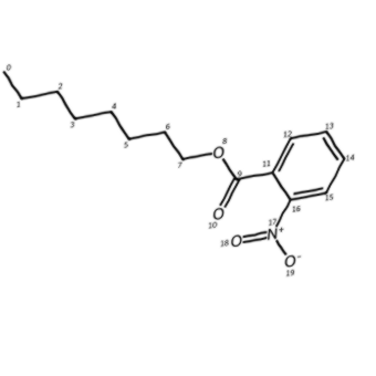 CCCCCCCCOC(=O)c1ccccc1[N+](=O)[O-]